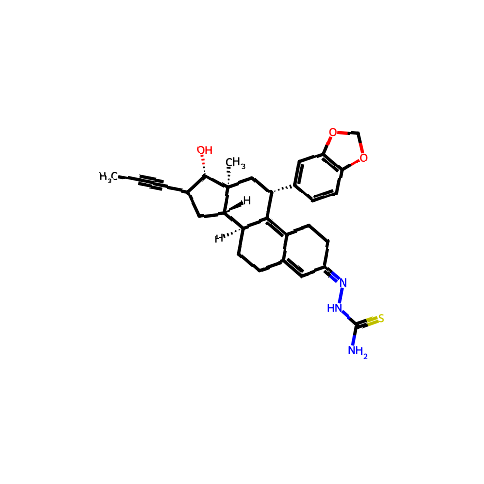 CC#CC1C[C@H]2[C@@H]3CCC4=CC(=NNC(N)=S)CCC4=C3[C@@H](c3ccc4c(c3)OCO4)C[C@]2(C)[C@H]1O